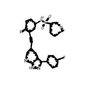 O=S(=O)(Nc1ccc(F)c(C#Cc2cnc3[nH]nc(-c4ccc(F)cc4)c3c2)c1)c1cccnc1